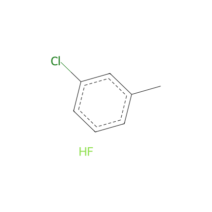 Cc1cccc(Cl)c1.F